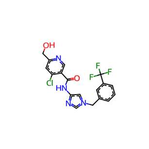 O=C(Nc1cn(Cc2cccc(C(F)(F)F)c2)cn1)c1cnc(CO)cc1Cl